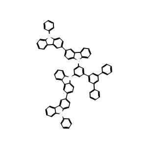 c1ccc(-c2cc(-c3ccccc3)cc(-c3cc(-n4c5ccccc5c5cc(-c6ccc7c(c6)c6ccccc6n7-c6ccccc6)ccc54)cc(-n4c5ccccc5c5cc(-c6ccc7c(c6)c6ccccc6n7-c6ccccc6)ccc54)c3)c2)cc1